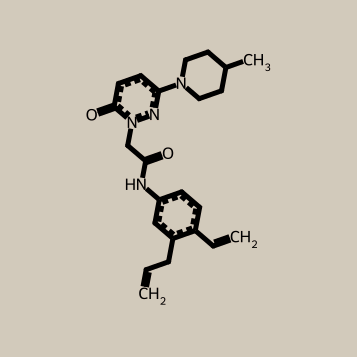 C=CCc1cc(NC(=O)Cn2nc(N3CCC(C)CC3)ccc2=O)ccc1C=C